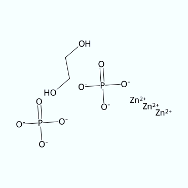 O=P([O-])([O-])[O-].O=P([O-])([O-])[O-].OCCO.[Zn+2].[Zn+2].[Zn+2]